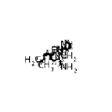 C=C(C)C/C=C\C1=C(C)N(C(=C)Nc2ccccn2)[C@@H](CCN)CC1